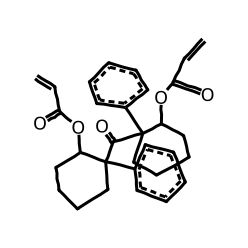 C=CC(=O)OC1CCCCC1(C(=O)C1(c2ccccc2)CCCCC1OC(=O)C=C)c1ccccc1